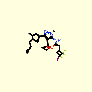 C#CCCC1CC(c2nn(C)c(NC(O)C[C@@H]3CC(F)(I)C3(F)F)c2C2CCC2)CC1C